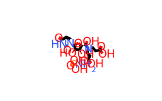 NP(=O)(O)O.O=C(O)CCN(CCC(=O)O)C(O)[C@H]1O[C@@H](n2ccc(=O)[nH]c2=O)[C@H](O)[C@@H]1O